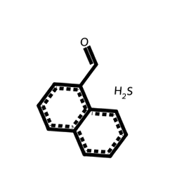 O=Cc1cccc2ccccc12.S